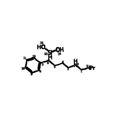 CC(C)CNCCCC(c1ccccc1)[SiH](O)O